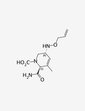 C=CCON[C@@H]1C=C(C)[C@@H](C(N)=O)N(C(=O)O)C1